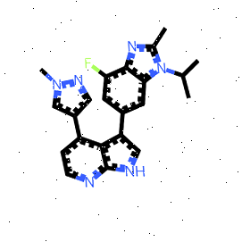 Cc1nc2c(F)cc(-c3c[nH]c4nccc(-c5cnn(C)c5)c34)cc2n1C(C)C